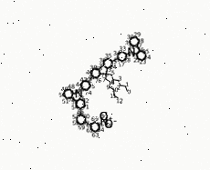 CCCCCCC1(CCCCCC)c2cc(-c3ccc(-n4c5ccccc5c5ccccc54)cc3)ccc2-c2ccc(-c3ccc(-n4c5ccccc5c5cc(-c6cccc(-c7cccc([N+](=O)[O-])c7)c6)ccc54)cc3)cc21